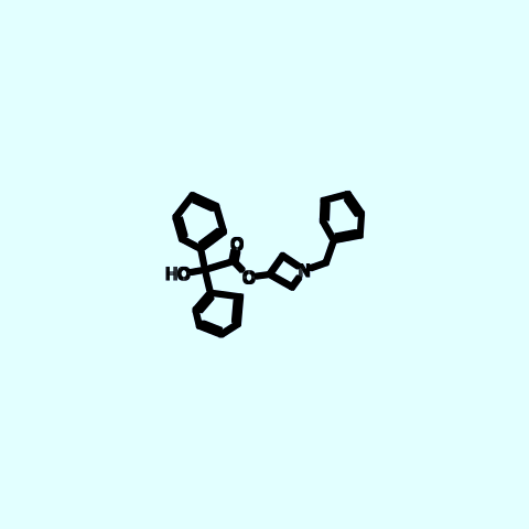 O=C(OC1CN(Cc2ccccc2)C1)C(O)(c1ccccc1)c1ccccc1